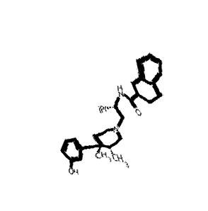 CC(C)[C@@H](CN1CC[C@@](C)(c2cccc(O)c2)[C@@H](C)C1)NC(=O)C1CCc2ccccc2C1